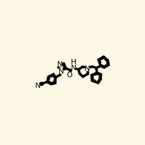 N#Cc1ccc(Cn2cncc2C(=O)NC2CCCN(CC(c3ccccc3)c3ccccc3)C2)cc1